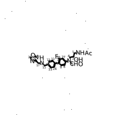 CC(=O)NC[C@H](O)CN(C=O)c1ccc(-c2ccc(CNCc3ncon3)cc2)c(F)c1